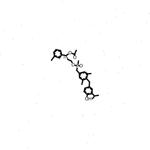 CC(=O)O[C@@H](CCOP(C)(=O)Cc1cc(C)c(Cc2ccc(O)c(C(C)C)c2)c(C)c1)c1cccc(C)c1